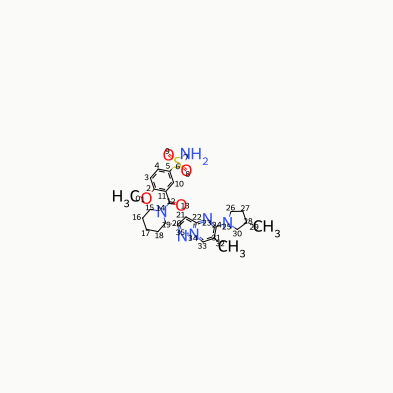 COc1ccc(S(N)(=O)=O)cc1C(=O)N1CCCC[C@H]1c1cc2nc(N3CC[C@H](C)C3)c(C)cn2n1